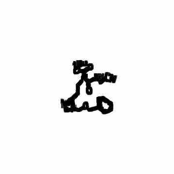 CC(C)(C)OC(=O)N(CCc1cncn1COCc1ccccc1)C(=O)NCC#N